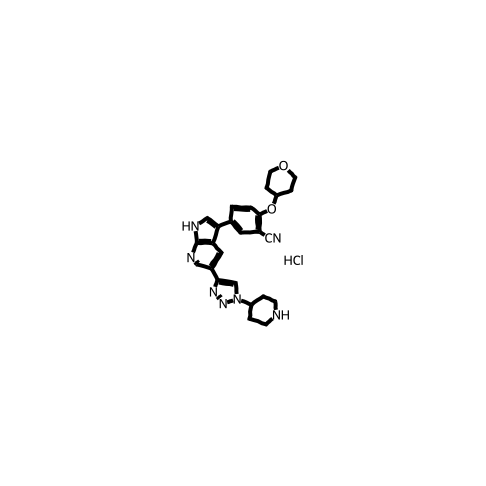 Cl.N#Cc1cc(-c2c[nH]c3ncc(-c4cn(C5CCNCC5)nn4)cc23)ccc1OC1CCOCC1